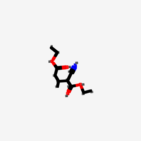 CCOC(=O)CC(C)C(C#N)C(=O)OCC